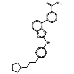 NC(=O)c1cccc(-c2cccc3nc(Nc4ccc(CCCN5CCCC5)cc4)nn23)c1